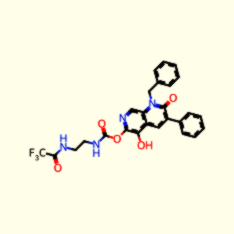 O=C(NCCNC(=O)C(F)(F)F)Oc1ncc2c(cc(-c3ccccc3)c(=O)n2Cc2ccccc2)c1O